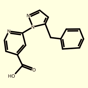 O=C(O)c1ccnc(-n2nccc2Cc2ccccc2)c1